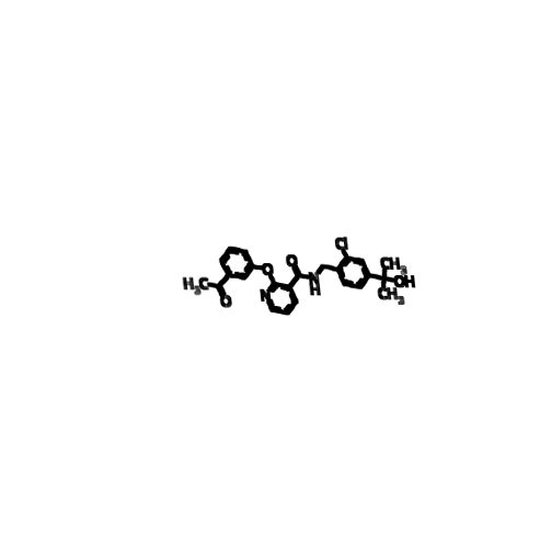 CC(=O)c1cccc(Oc2ncccc2C(=O)NCc2ccc(C(C)(C)O)cc2Cl)c1